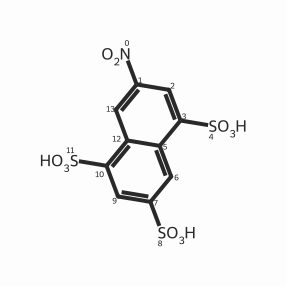 O=[N+]([O-])c1cc(S(=O)(=O)O)c2cc(S(=O)(=O)O)cc(S(=O)(=O)O)c2c1